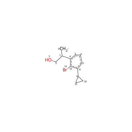 [CH2]C(CO)c1cccc(C2CC2)c1Br